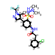 CN(C)NS(=O)(=O)c1cc(NC(=O)Cc2ccccc2Cl)ccc1-c1cnn(C(F)F)c1C(F)(F)F